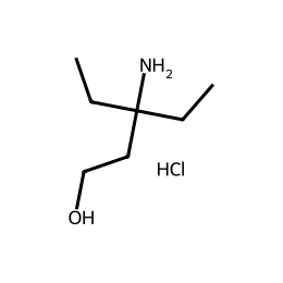 CCC(N)(CC)CCO.Cl